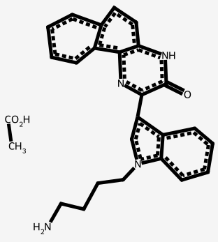 CC(=O)O.NCCCCn1cc(-c2nc3c(ccc4ccccc43)[nH]c2=O)c2ccccc21